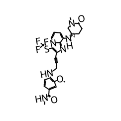 CNC(=O)c1ccc(NCC#Cc2nc3c(N[C@@H]4CCC(=O)N(C)C4)cccn3c2SC(F)(F)F)c(OC)c1